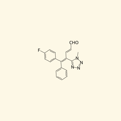 Cn1nnnc1C(C=CC=O)=C(c1ccccc1)c1ccc(F)cc1